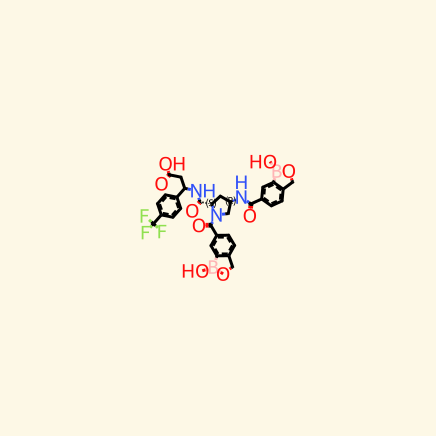 O=C(O)CC(NC(=O)[C@@H]1C[C@@H](NC(=O)c2ccc3c(c2)B(O)OC3)CN1C(=O)c1ccc2c(c1)B(O)OC2)c1ccc(C(F)(F)F)cc1